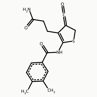 Cc1ccc(C(=O)NC2=C(CCC(N)=O)C(=C=O)CS2)cc1C